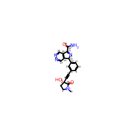 CN1CC[C@@](O)(C#Cc2cccc(C3N=C(C(N)=O)c4cnncc43)c2)C1=O